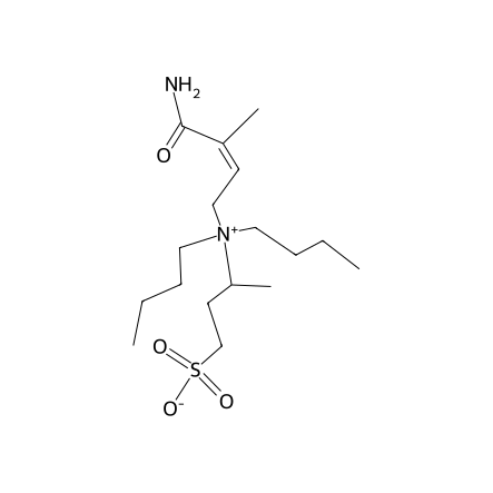 CCCC[N+](CC=C(C)C(N)=O)(CCCC)C(C)CCS(=O)(=O)[O-]